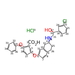 Cl.O=C(O)c1cc(Oc2ccc3c(c2)C[C@@H](NC[C@@H](O)c2cccc(Cl)c2)CC3)ccc1Oc1ccccc1